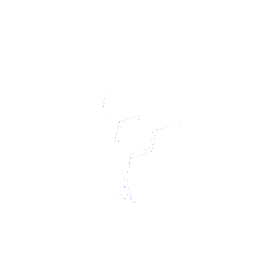 CSCc1cc(Br)cc(-n2[nH]o2)c1